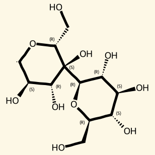 OC[C@H]1O[C@@H]([C@]2(O)[C@H](O)[C@@H](O)[CH]O[C@@H]2CO)[C@H](O)[C@@H](O)[C@@H]1O